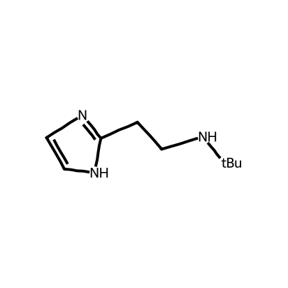 CC(C)(C)NCCc1ncc[nH]1